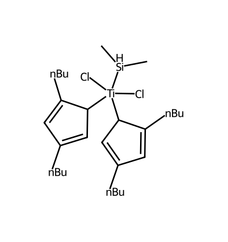 CCCCC1=C[CH]([Ti]([Cl])([Cl])([CH]2C=C(CCCC)C=C2CCCC)[SiH](C)C)C(CCCC)=C1